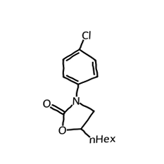 CCCCCCC1CN(c2ccc(Cl)cc2)C(=O)O1